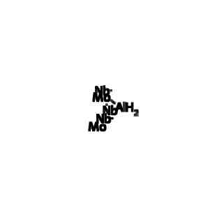 [AlH2][Mo].[Mo].[Nb].[Nb].[Nb]